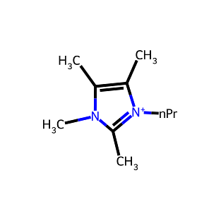 CCC[n+]1c(C)c(C)n(C)c1C